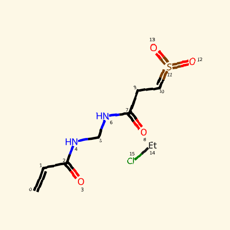 C=CC(=O)NCNC(=O)CC=S(=O)=O.CCCl